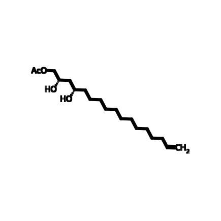 C=CCCCCCCCCCCC[C@H](O)C[C@H](O)COC(C)=O